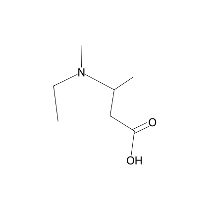 CCN(C)C(C)CC(=O)O